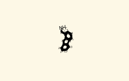 [NH]Cc1cccc2c1Cc1ccccc1-2